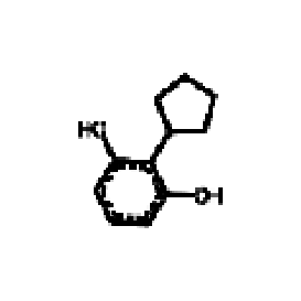 Oc1cccc(O)c1C1CCCC1